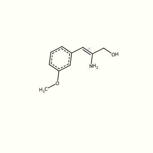 COc1cccc(/C=C(\N)CO)c1